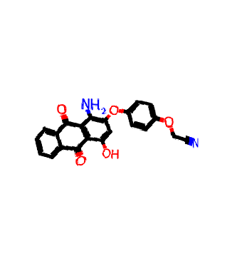 N#CCOc1ccc(Oc2cc(O)c3c(c2N)C(=O)c2ccccc2C3=O)cc1